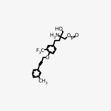 Cc1cccc(C#CCOc2ccc(CCC(N)(CO)COP=O)cc2C(F)(F)F)c1